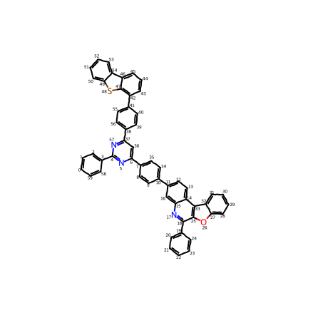 c1ccc(-c2nc(-c3ccc(-c4ccc5c(c4)nc(-c4ccccc4)c4oc6ccccc6c45)cc3)cc(-c3ccc(-c4cccc5c4sc4ccccc45)cc3)n2)cc1